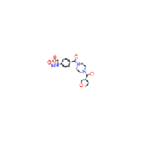 O=C(c1ccc(N[SH](=O)=O)cc1)N1CCN(C(=O)C2CCOC2)CC1